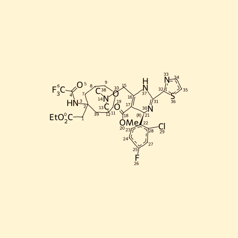 CCOC(=O)CC1(NC(=O)C(F)(F)F)CC2COCC(CN(CC3=C(C(=O)OC)[C@H](c4ccc(F)cc4Cl)N=C(c4nccs4)N3)C2)C1